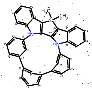 C[Si]1(C)c2c3ccccc3n3c4cccc(c4)c4cccc(c4)c4cccc(c4)n4c5ccccc5c1c4c23